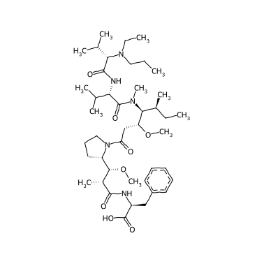 CCCN(CC)[C@H](C(=O)N[C@H](C(=O)N(C)[C@@H]([C@@H](C)CC)[C@@H](CC(=O)N1CCC[C@H]1[C@H](OC)[C@@H](C)C(=O)N[C@@H](Cc1ccccc1)C(=O)O)OC)C(C)C)C(C)C